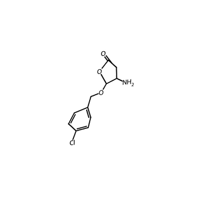 NC1CC(=O)OC1OCc1ccc(Cl)cc1